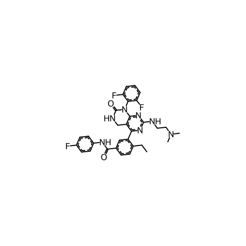 CCc1ccc(C(=O)Nc2ccc(F)cc2)cc1-c1nc(NCCN(C)C)nc2c1CNC(=O)N2c1c(F)cccc1F